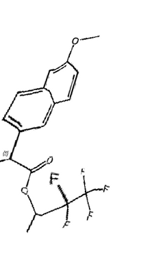 COc1ccc2cc([C@H](C)C(=O)OC(C)C(F)(F)C(F)(F)F)ccc2c1